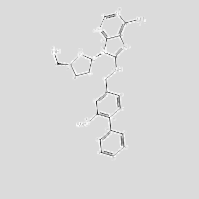 COc1cc(CNc2nc3c(N)ncnc3n2[C@H]2CC[C@@H](CO)O2)ccc1-c1ccccc1